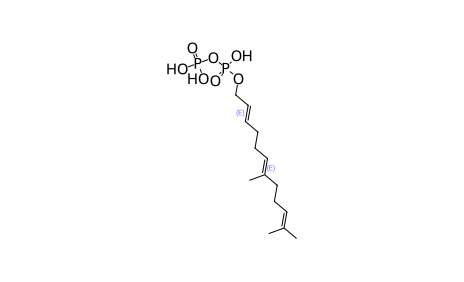 CC(C)=CCC/C(C)=C/CC/C=C/COP(=O)(O)OP(=O)(O)O